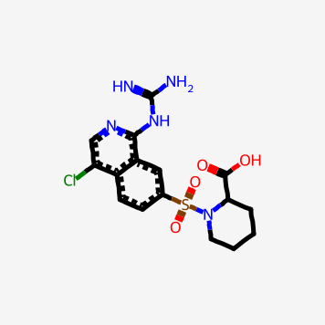 N=C(N)Nc1ncc(Cl)c2ccc(S(=O)(=O)N3CCCCC3C(=O)O)cc12